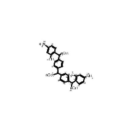 CCCCCCCCC(c1ccc(C(CCCCCCCC)c2ccc(N)cc2C)cc1)c1ccc(C(CCCCCCCC)c2ccc(N)cc2C)cc1